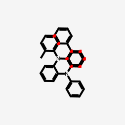 Cc1ccccc1N(c1ccccc1-c1ccccc1)c1ccccc1N(c1ccccc1)c1ccccc1